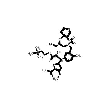 CC[C@@H]1CN(Cc2cc([C@@H](C3CC(OC)=C(C(C)=O)S3)[C@@H](C)C(=O)OCC[Si](C)(C)C)ccc2C)S(=O)(=O)c2cnccc2O1